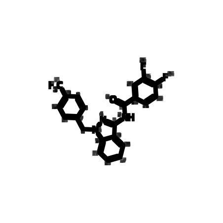 O=C(Nc1nn(Cc2ccc(C(F)(F)F)cc2)c2ccccc12)c1ccc(F)c(F)c1